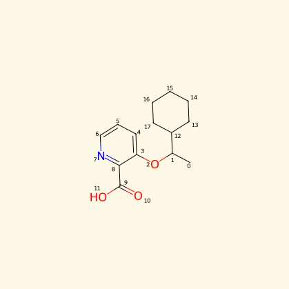 CC(Oc1cccnc1C(=O)O)C1CCCCC1